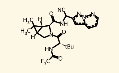 CC(C)(C)[C@H](NC(=O)C(F)(F)F)C(=O)N1C[C@H]2[C@@H]([C@H]1C(=O)NC(C#N)c1cc3cccnn3n1)C2(C)C